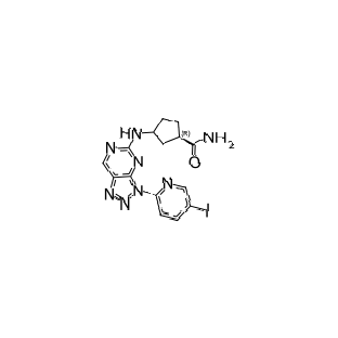 NC(=O)[C@@H]1CCC(Nc2ncc3nnn(-c4ccc(I)cn4)c3n2)C1